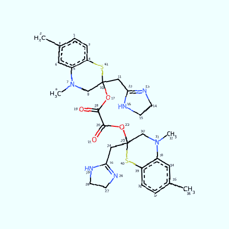 Cc1ccc2c(c1)N(C)CC(CC1=NCCN1)(OC(=O)C(=O)OC1(CC3=NCCN3)CN(C)c3cc(C)ccc3S1)S2